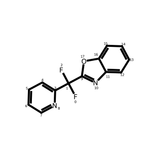 FC(F)(c1ccccn1)c1nc2ccccc2o1